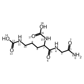 NC(=O)CNC(=O)C(CCCNC(=O)O)NC(=O)O